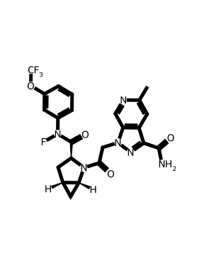 Cc1cc2c(C(N)=O)nn(CC(=O)N3[C@@H]4C[C@@H]4C[C@H]3C(=O)N(F)c3cccc(OC(F)(F)F)c3)c2cn1